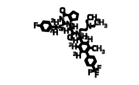 [2H]c1c([2H])c(C([2H])([2H])N(CCN(CC)CC)C(=O)C([2H])([2H])n2c(SC([2H])([2H])c3ccc(F)cc3)nc(=O)c3c2CCC3)c([2H])c(C)c1-c1ccc(C(F)(F)F)cc1